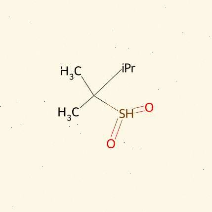 CC(C)C(C)(C)[SH](=O)=O